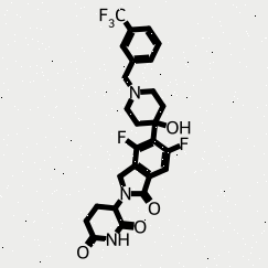 O=C1CCC(N2Cc3c(cc(F)c(C4(O)CCN(Cc5cccc(C(F)(F)F)c5)CC4)c3F)C2=O)C(=O)N1